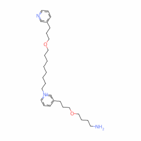 NCCCCOCCCc1ccc[n+](CCCCCCCCOCCCc2cccnc2)c1